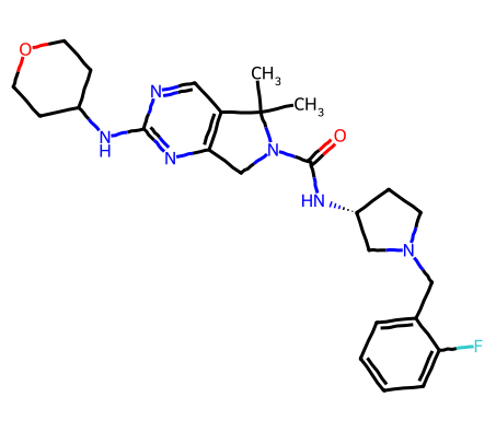 CC1(C)c2cnc(NC3CCOCC3)nc2CN1C(=O)N[C@@H]1CCN(Cc2ccccc2F)C1